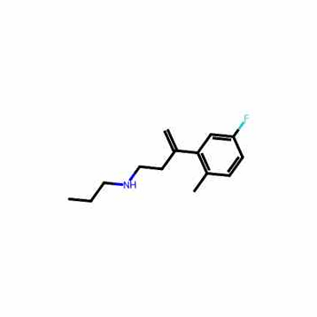 C=C(CCNCCC)c1cc(F)ccc1C